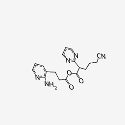 N#CCCCC(C(=O)OC(=O)CCc1cccnc1N)c1ncccn1